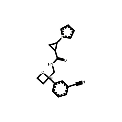 N#Cc1cccc([C@]2(CNC(=O)C3CC3n3cccc3)CCO2)c1